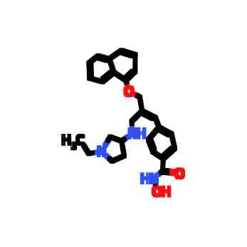 CCN1CCC(NCC(=Cc2ccc(C(=O)NO)cc2)COc2cccc3ccccc23)C1